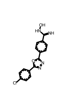 N=C(NO)c1ccc(-c2nnc(-c3ccc(Cl)cc3)o2)cc1